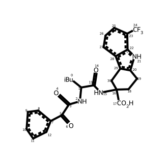 CCC(C)C(NC(=O)C(=O)c1ccccc1)C(=O)NC1(C(=O)O)CCc2[nH]c3c(C(F)(F)F)cccc3c2C1